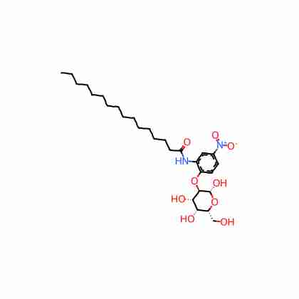 CCCCCCCCCCCCCCCC(=O)Nc1cc([N+](=O)[O-])ccc1O[C@@H]1[C@@H](O)[C@@H](O)[C@@H](CO)O[C@H]1O